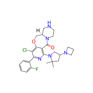 CC1(C)CC(N2CCC2)CN1c1nc(-c2ccccc2F)c(Cl)c2c1C(=O)N1CCNC[C@@H]1CO2